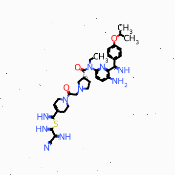 CCN(C(=O)[C@@H]1CCN(CC(=O)N2CC=C(C(=N)SC(=N)C(=N)C#N)CC2)C1)c1ccc(N)c(C(=N)c2ccc(OC(C)C)cc2)n1